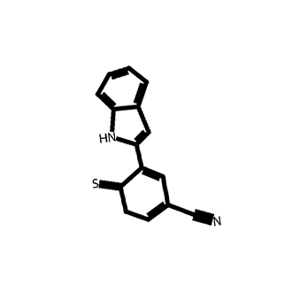 N#CC1=CCC(=S)C(c2cc3ccccc3[nH]2)=C1